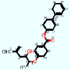 C=C(C=O)CC(O)C(CCC)OC1=CC=C(C(=O)OC2=CC=C(C3=CC=CCC3)CC2)CC1